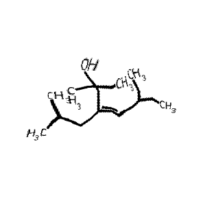 CC(C)C=C(CC(C)C)C(C)(C)O